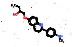 CCC(O)COc1ccc2nc(-c3ccc(NC)cc3)ccc2c1